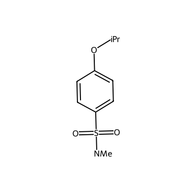 CNS(=O)(=O)c1ccc(OC(C)C)cc1